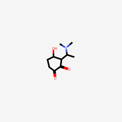 CC(C1C(=O)C(=O)CCC1O)N(C)C